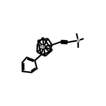 C[Si](C)(C)C#C[C]12[CH]3[CH]4[C]5(c6ccccc6)[CH]1[Fe]34251678[CH]2[CH]1[CH]6[CH]7[CH]28